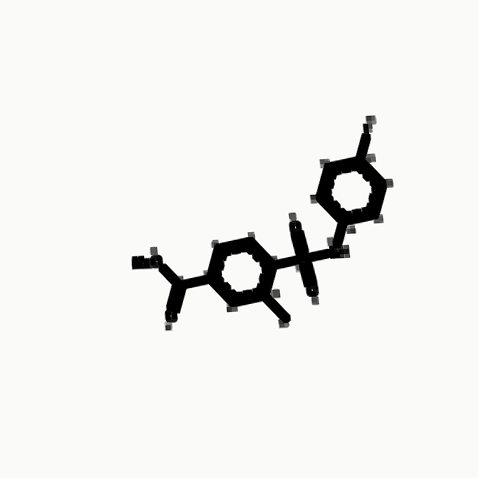 COC(=O)c1ccc(S(=O)(=O)Nc2ccc(F)cc2)c(C)c1